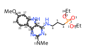 CCOP(=O)(CCCNc1nc(NC)nc2c1[nH]c1cc(OC)ccc12)OCC